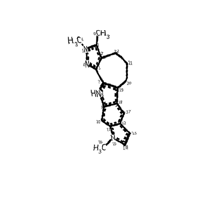 Cc1c2c(nn1C)-c1[nH]c3cc4c(ccn4C)cc3c1CCC2